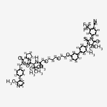 Cc1ncsc1-c1ccc(CNC(=O)[C@@H]2CCCN2C(=O)C(NC(=O)COCCCOCCOc2cccc(-c3ccc(N4C(=S)N(c5ccc(C#N)c(C(F)(F)F)c5)C(=O)C4(C)C)cc3)c2)C(C)(C)C)cc1